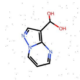 OC(O)c1cnn2cccnc12